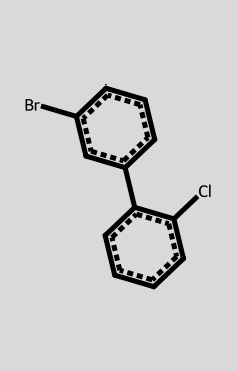 Clc1ccccc1-c1cc[c]c(Br)c1